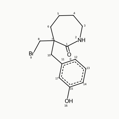 O=C1NCCCCC1(CBr)Cc1cccc(O)c1